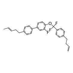 C=CCCc1ccc(C(F)(F)Oc2ccc(-c3ccc(CC/C=C/C)cc3)cc2F)cc1